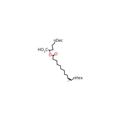 CCCCCC/C=C\CCCCCCCCC(=O)OC(CCCCCCCCCCCCC)C(=O)O